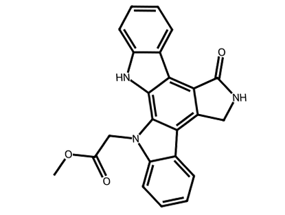 COC(=O)Cn1c2ccccc2c2c3c(c4c5ccccc5[nH]c4c21)C(=O)NC3